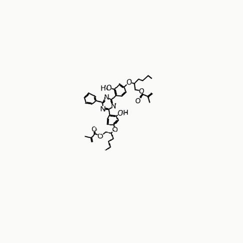 C=C(C)C(=O)OCC(CCCC)Oc1ccc(-c2nc(-c3ccccc3)nc(-c3ccc(OC(CCCC)COC(=O)C(=C)C)cc3O)n2)c(O)c1